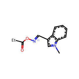 CCC(=O)O/N=C/c1cn(C)c2ccccc12